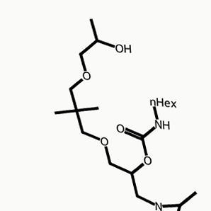 CCCCCCNC(=O)OC(COCC(C)(C)COCC(C)O)CN1CC1C